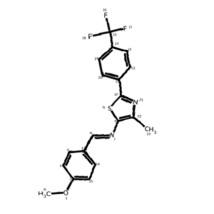 COc1ccc(C=Nc2sc(-c3ccc(C(F)(F)F)cc3)nc2C)cc1